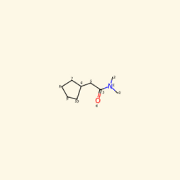 CN(C)C(=O)CC1CCCC1